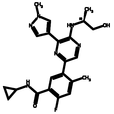 Cc1cc(F)c(C(=O)NC2CC2)cc1-c1cnc(N[C@@H](C)CO)c(-c2cnn(C)c2)n1